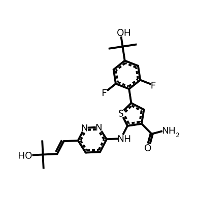 CC(C)(O)/C=C/c1ccc(Nc2sc(-c3c(F)cc(C(C)(C)O)cc3F)cc2C(N)=O)nn1